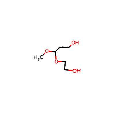 CO[C@@H](CCO)OCCO